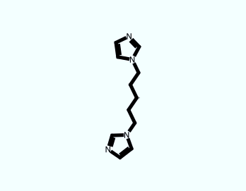 [CH](CCn1ccnc1)CCn1ccnc1